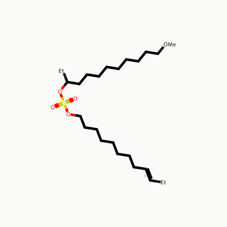 CC/C=C/CCCCCCCCOS(=O)(=O)OC(CC)CCCCCCCCCOC